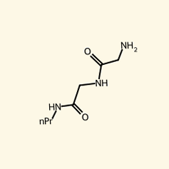 [CH2]CCNC(=O)CNC(=O)CN